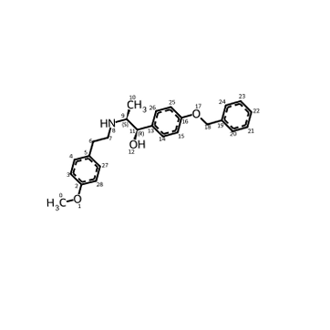 COc1ccc(CCN[C@@H](C)[C@H](O)c2ccc(OCc3ccccc3)cc2)cc1